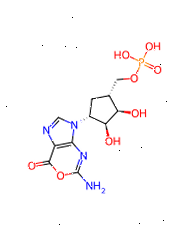 Nc1nc2c(ncn2[C@@H]2C[C@H](COP(=O)(O)O)[C@@H](O)[C@H]2O)c(=O)o1